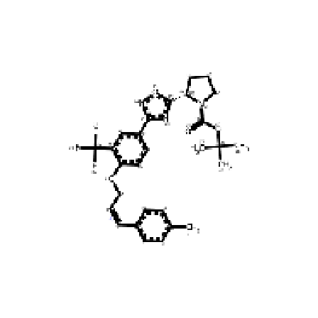 Cc1ccc(/C=C\COc2ccc(-c3noc([C@@H]4CCCN4C(=O)OC(C)(C)C)n3)cc2C(F)(F)F)cc1